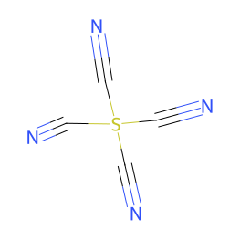 N#CS(C#N)(C#N)C#N